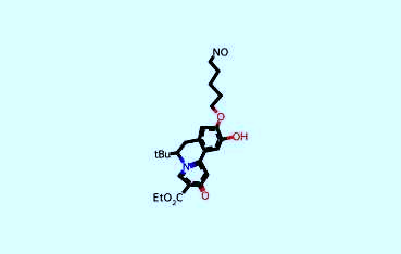 CCOC(=O)c1cn2c(cc1=O)-c1cc(O)c(OCCCCCN=O)cc1CC2C(C)(C)C